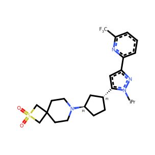 CC(C)n1nc(-c2cccc(C(F)(F)F)n2)cc1[C@@H]1CC[C@@H](N2CCC3(CC2)CS(=O)(=O)C3)C1